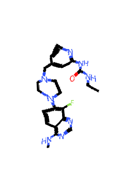 CCNC(=O)Nc1cc(CN2CCN(c3ccc4c(NC)ncnc4c3F)CC2)ccn1